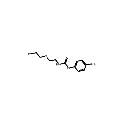 Cc1ccc(NC(=S)NCCOCCC(C)C)cc1